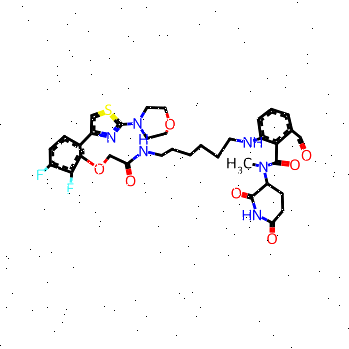 CN(C(=O)c1c(C=O)cccc1NCCCCCCNC(=O)COc1c(-c2csc(N3CCOCC3)n2)ccc(F)c1F)C1CCC(=O)NC1=O